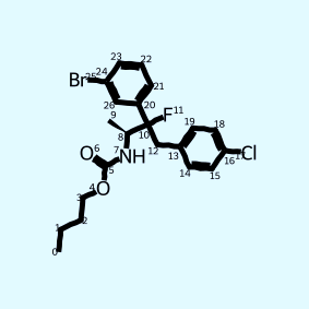 CCCCOC(=O)N[C@@H](C)C(F)(Cc1ccc(Cl)cc1)c1cccc(Br)c1